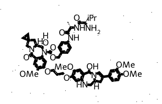 COc1ccc(C2=CN3C(O)c4cc(OC)c(OCCCOc5cc6c(cc5OC)C(=O)N5CC7(CC7)C[C@H]5C(O)N6C(=O)OCc5ccc(NC(=O)[C@H](C)NC(=O)[C@@H](N)C(C)C)cc5)cc4NC[C@@H]3C2)cc1OC